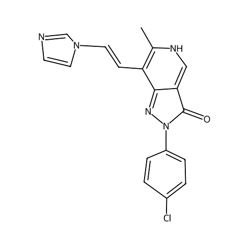 Cc1[nH]cc2c(=O)n(-c3ccc(Cl)cc3)nc-2c1C=Cn1ccnc1